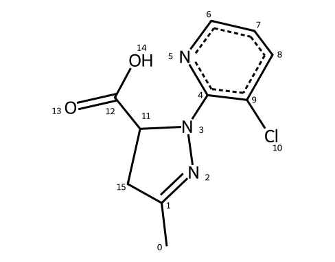 CC1=NN(c2ncccc2Cl)C(C(=O)O)C1